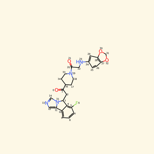 O=C(CC1c2c(F)cccc2-c2cncn21)C1CCN(C(=O)CNc2ccc3c(c2)OCO3)CC1